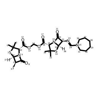 CC1(C)S[C@@H]2[C@H](I)C(=O)N2[C@H]1C(=O)OCOC(=O)[C@@H]1N2C(=O)[C@@H](N=CN3CCCCCC3)[C@H]2SC1(C)C